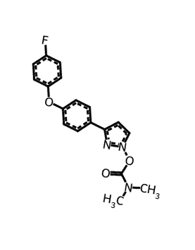 CN(C)C(=O)On1ccc(-c2ccc(Oc3ccc(F)cc3)cc2)n1